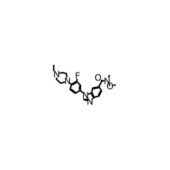 CCN1CCN(c2ccc(-n3cnc4ccc(C(=O)N(C)OC)cc43)cc2F)CC1